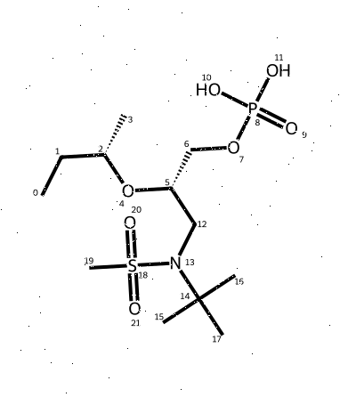 CC[C@H](C)O[C@H](COP(=O)(O)O)CN(C(C)(C)C)S(C)(=O)=O